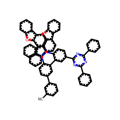 N#Cc1cccc(-c2ccc(-n3c4ccccc4c4c5oc6ccccc6c5ccc43)c(-c3cc(-c4nc(-c5ccccc5)nc(-c5ccccc5)n4)ccc3-n3c4ccccc4c4c5oc6ccccc6c5ccc43)c2)c1